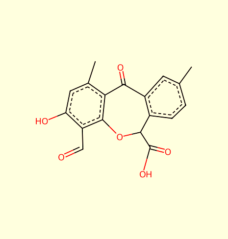 Cc1ccc2c(c1)C(=O)c1c(C)cc(O)c(C=O)c1OC2C(=O)O